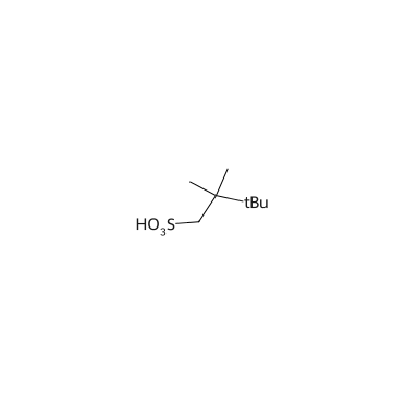 CC(C)(C)C(C)(C)CS(=O)(=O)O